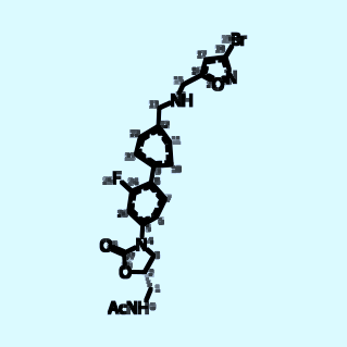 CC(=O)NC[C@H]1CN(c2ccc(-c3ccc(CNCc4cc(Br)no4)cc3)c(F)c2)C(=O)O1